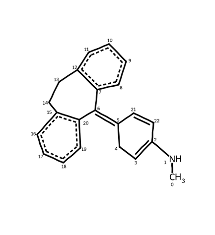 CNC1=CCC(=C2c3ccccc3CCc3ccccc32)C=C1